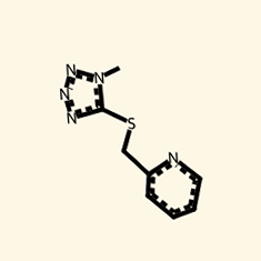 Cn1nnnc1SCc1ccccn1